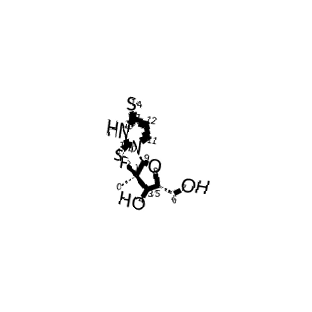 C[C@@]1(F)C(O)[C@@H](CO)O[C@H]1n1ccc(=S)[nH]c1=S